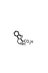 O=C(O)C1=C2N=c3ccccc3=C2CCN1